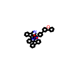 c1ccc2c(c1)-c1cncc3c(N(c4ccc(-c5ccc6oc7ccccc7c6c5)cc4)c4cccc5c4C4(c6ccccc6-c6ccccc64)c4ccccc4-5)ncc-2c13